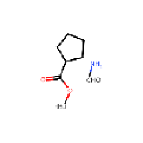 CC(C)(C)OC(=O)C1CCCC1.NC=O